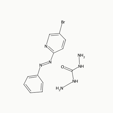 Brc1ccc(N=Nc2ccccc2)nc1.NNC(=O)NN